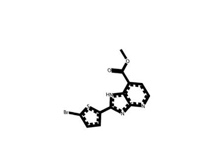 COC(=O)c1ccnc2nc(-c3ccc(Br)s3)[nH]c12